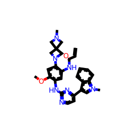 C=CC(=O)Nc1cc(Nc2nccc(-c3cn(C)c4ccccc34)n2)c(OC)cc1N1CC2(CN(C)C2)C1